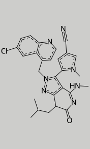 CNC1=NC(=O)C(CC(C)C)c2nn(Cc3ccnc4ccc(Cl)cc34)c(-c3cc(C#N)cn3C)c21